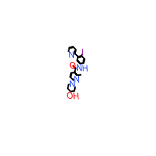 Cc1nc(N2CCC(O)CC2)ccc1C(=O)Nc1ccc(I)c(-c2ccccn2)c1